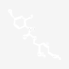 C=C/C=C\C(=C)COC(=O)Nc1ccc(C=O)cc1F